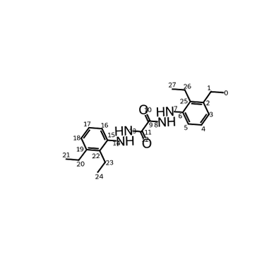 CCc1cccc(NNC(=O)C(=O)NNc2cccc(CC)c2CC)c1CC